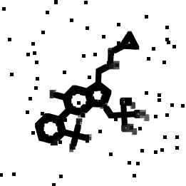 CC(C)(C)Cn1cc(CNSC2CC2)c2cc(F)c(-c3cccnc3C(F)(F)F)nc21